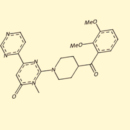 COc1cccc(C(=O)C2CCN(c3nc(-c4ccncn4)cc(=O)n3C)CC2)c1OC